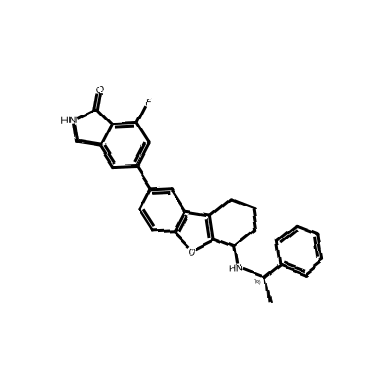 C[C@@H](NC1CCCc2c1oc1ccc(-c3cc(F)c4c(c3)CNC4=O)cc21)c1ccccc1